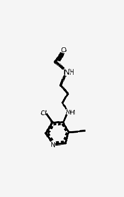 Cc1cncc(Cl)c1NCCCNC=O